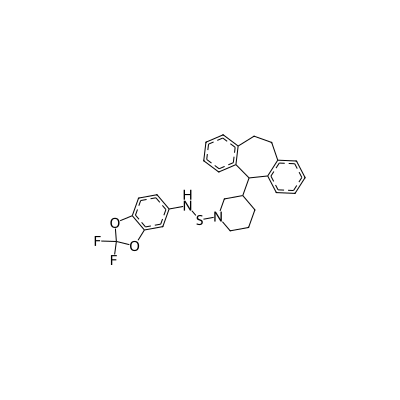 FC1(F)Oc2ccc(NSN3CCCC(C4c5ccccc5CCc5ccccc54)C3)cc2O1